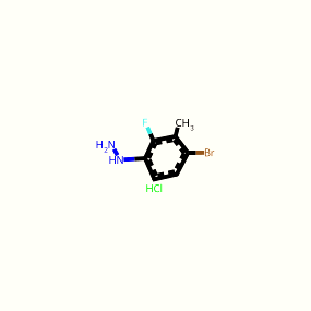 Cc1c(Br)ccc(NN)c1F.Cl